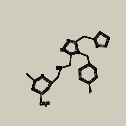 Cc1cc(C(=O)O)cc(CNCc2nnc(Cc3cccs3)n2Cc2ccc(F)cc2)n1